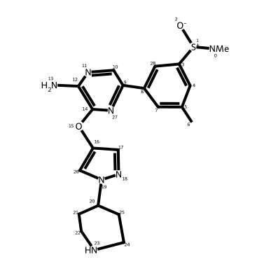 CN[S+]([O-])c1cc(C)cc(-c2cnc(N)c(Oc3cnn(C4CCNCC4)c3)n2)c1